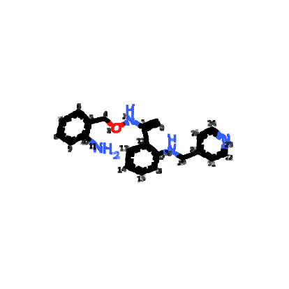 C=C(NOCc1ccccc1N)c1ccccc1NCc1ccncc1